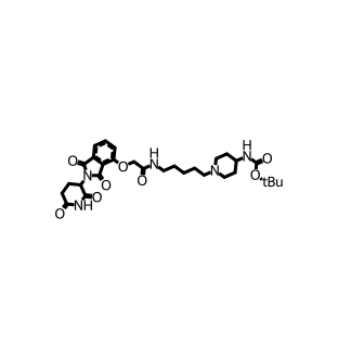 CC(C)(C)OC(=O)NC1CCN(CCCCCNC(=O)COc2cccc3c2C(=O)N(C2CCC(=O)NC2=O)C3=O)CC1